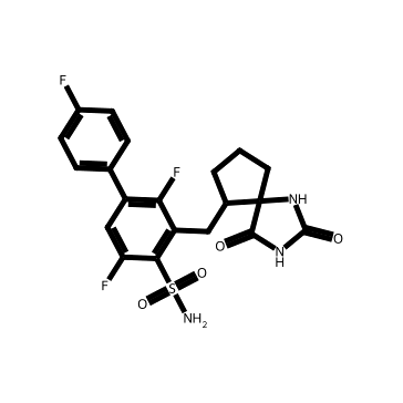 NS(=O)(=O)c1c(F)cc(-c2ccc(F)cc2)c(F)c1CC1CCCC12NC(=O)NC2=O